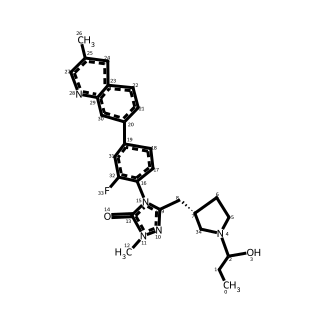 CCC(O)N1CC[C@@H](Cc2nn(C)c(=O)n2-c2ccc(-c3ccc4cc(C)cnc4c3)cc2F)C1